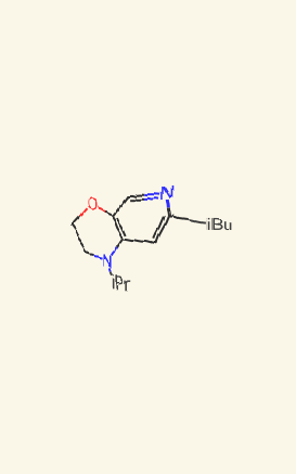 CCC(C)c1cc2c(cn1)OCCN2C(C)C